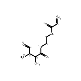 C=CC(=O)OCCOC(=O)C(C)C(C)C=O